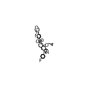 O=S(=O)(c1ccc(N2CCOCC2)nc1)N1CCC2=Cc3c(cnn3-c3ccc(F)cc3)C[C@]2(COCC2CC2)C1